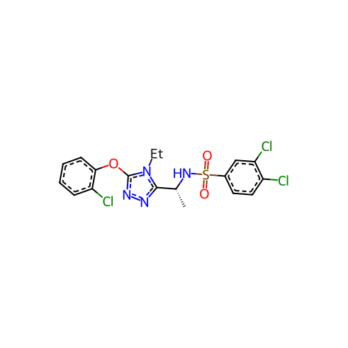 CCn1c(Oc2ccccc2Cl)nnc1[C@@H](C)NS(=O)(=O)c1ccc(Cl)c(Cl)c1